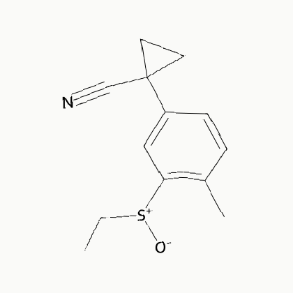 CC[S+]([O-])c1cc(C2(C#N)CC2)ccc1C